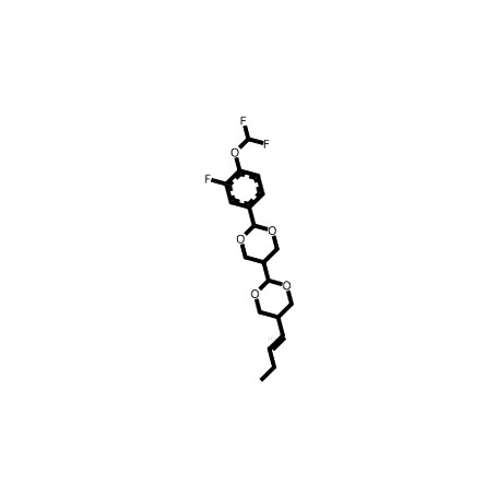 CC/C=C/C1COC(C2COC(c3ccc(OC(F)F)c(F)c3)OC2)OC1